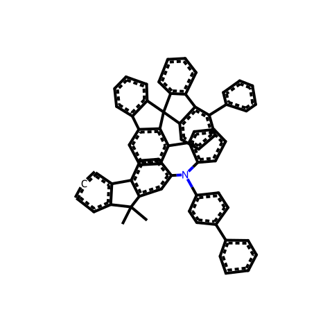 CC1(C)c2ccccc2-c2ccc(N(c3ccc(-c4ccccc4)cc3)c3ccccc3-c3cccc4c3C3(c5ccccc5-4)c4ccccc4-c4c(-c5ccccc5)cccc43)cc21